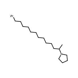 CC(C)CCCCCCCCCCCC(C)N1CCCC1